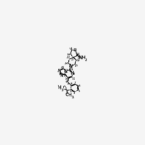 CC(C)c1ccccc1Sc1cnc(N2CCC3(CCC[C@H]3N)CC2)n2cnnc12